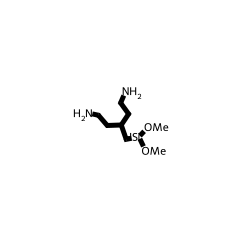 CO[SiH](CC(CCN)CCN)OC